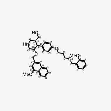 COc1ccccc1COCCCOc1ccc(C2[C@H](CO)CNC[C@@H]2OCc2cc(OC)c3ccccc3c2)cc1